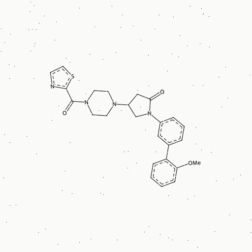 COc1ccccc1-c1cccc(N2CC(N3CCN(C(=O)c4nccs4)CC3)CC2=O)c1